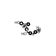 CS(=O)(=O)Nc1ccc(Oc2ccc(CN3CCC(N(C(=O)N[C@H]4CC[C@H](O)CC4)c4ccccc4)CC3)cc2)cc1.Cl